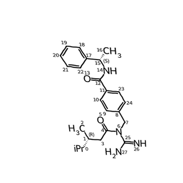 CC(C)[C@H](C)CC(=O)N(Cc1ccc(C(=O)N[C@@H](C)c2ccccc2)cc1)C(=N)N